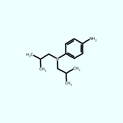 CC(C)CN(CC(C)C)c1ccc(N)cc1